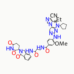 CC[C@@H]1c2c(C#N)ncn2-c2cnc(Nc3ccc(C(=O)NCCC(=O)Nc4cccc5c4CN(C4CCC(=O)NC4=O)C5=O)cc3OC)nc2N1C1CCCC1